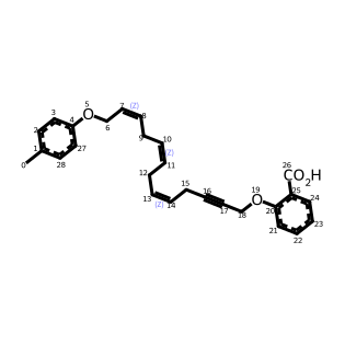 Cc1ccc(OC/C=C\C/C=C\C/C=C\CC#CCOc2ccccc2C(=O)O)cc1